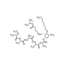 CCCCCCCC[C@@H]1[C@@H](C/C=C\CCCC(=O)OC(C)C)[C@@H](OC(=O)C(C)OC(=O)C(C)OOC(=O)C(C)OOC(=O)C(C)OC(=O)C(C)OC)C[C@H]1C